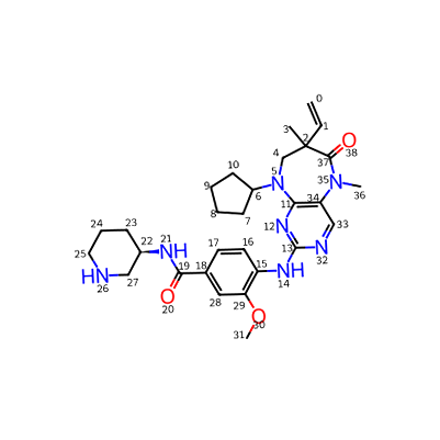 C=CC1(C)CN(C2CCCC2)c2nc(Nc3ccc(C(=O)N[C@@H]4CCCNC4)cc3OC)ncc2N(C)C1=O